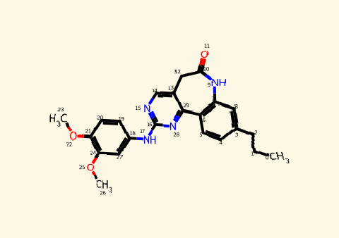 CCCc1ccc2c(c1)NC(=O)Cc1cnc(Nc3ccc(OC)c(OC)c3)nc1-2